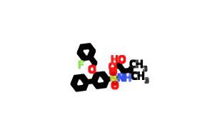 CC(C)C(NS(=O)(=O)c1ccc(-c2ccccc2)c(OCc2ccccc2F)c1)C(=O)O